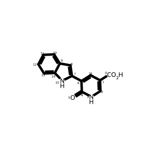 O=C(O)c1c[nH]c(=O)c(-c2cc3ccccc3[nH]2)c1